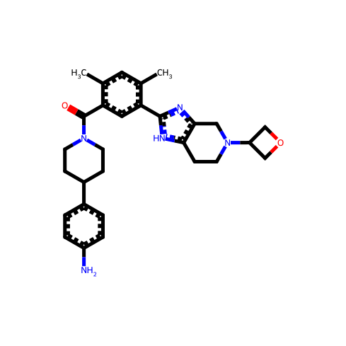 Cc1cc(C)c(-c2nc3c([nH]2)CCN(C2COC2)C3)cc1C(=O)N1CCC(c2ccc(N)cc2)CC1